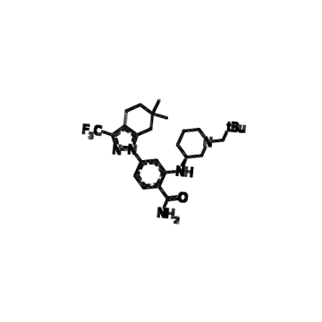 CC(C)(C)CN1CCC[C@H](Nc2cc(-n3nc(C(F)(F)F)c4c3CC(C)(C)CC4)ccc2C(N)=O)C1